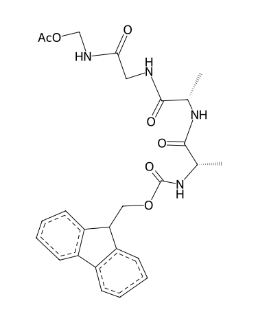 CC(=O)OCNC(=O)CNC(=O)[C@H](C)NC(=O)[C@H](C)NC(=O)OCC1c2ccccc2-c2ccccc21